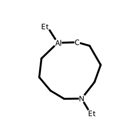 CCN1CCC[CH2][Al]([CH2]C)[CH2]CCC1